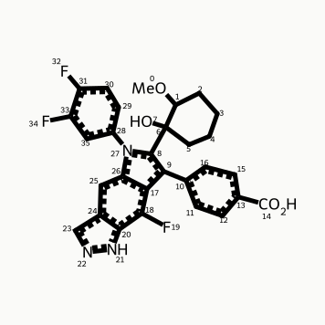 COC1CCCCC1(O)c1c(-c2ccc(C(=O)O)cc2)c2c(F)c3[nH]ncc3cc2n1-c1ccc(F)c(F)c1